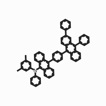 Cc1cc(C)cc(N(c2ccccc2)c2c3ccccc3c(-c3ccc(-c4c5ccccc5c(-c5ccccc5)c5cc(-c6ccccc6)ccc45)cc3)c3ccccc23)c1